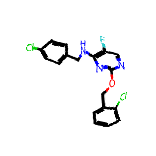 Fc1cnc(OCc2ccccc2Cl)nc1NCc1ccc(Cl)cc1